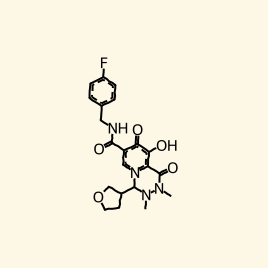 CN1C(=O)c2c(O)c(=O)c(C(=O)NCc3ccc(F)cc3)cn2C(C2CCOC2)N1C